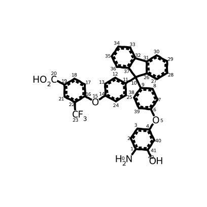 Nc1ccc(Oc2ccc(C3(c4ccc(Oc5ccc(C(=O)O)cc5C(F)(F)F)cc4)c4ccccc4-c4ccccc43)cc2)cc1O